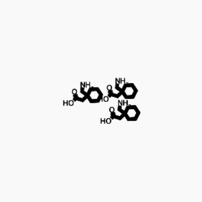 NCC1(CC(=O)O)CCCCC1.NCC1(CC(=O)O)CCCCC1.NCC1(CC(=O)O)CCCCC1